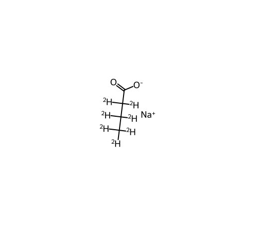 [2H]C([2H])([2H])C([2H])([2H])C([2H])([2H])C(=O)[O-].[Na+]